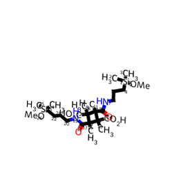 CO[Si](C)(C)CCCNC(=O)C1(C)C(C)(C(=O)O)C(C)(C(=O)NCCC[Si](C)(C)OC)C1(C)C(=O)O